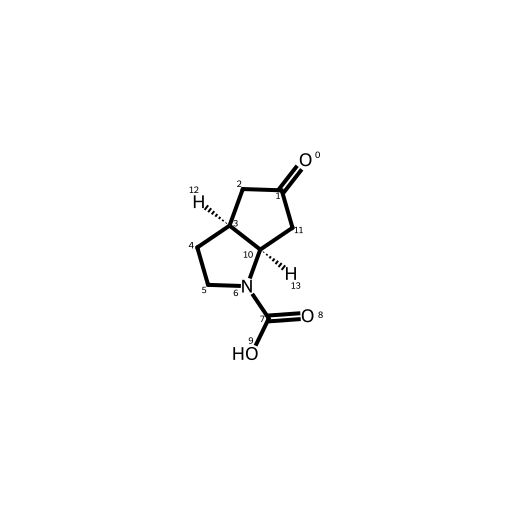 O=C1C[C@@H]2CCN(C(=O)O)[C@@H]2C1